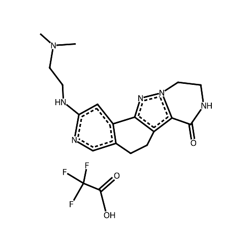 CN(C)CCNc1cc2c(cn1)CCc1c-2nn2c1C(=O)NCC2.O=C(O)C(F)(F)F